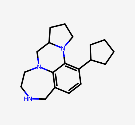 c1cc(C2CCCC2)c2c3c1CNCCN3CC1CCCN21